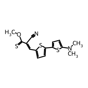 COC(=S)/C(C#N)=C/c1ccc(-c2ccc(N(C)C)s2)s1